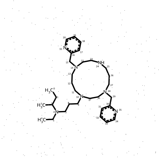 CCC(C)N(CC)CCCN1CCCN(Cc2ccccn2)CCNCCCN(Cc2ccccn2)CC1